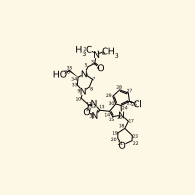 CN(C)C(=O)CN1CCN(Cc2nc(-c3cn(CC4CCOCC4)c4c(Cl)cccc34)no2)C[C@H]1CO